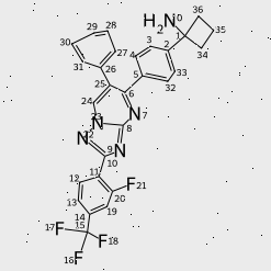 NC1(c2ccc(-c3nc4nc(-c5ccc(C(F)(F)F)cc5F)nn4cc3-c3ccccc3)cc2)CCC1